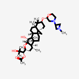 CC(=O)O[C@@H]([C@H]1C[C@@H](C)[C@H]2[C@H](O1)[C@H](O)[C@@]1(C)[C@@H]3CC[C@H]4C(C)(C)[C@@H](O[C@H]5CN(C6CN(C)C6)CCO5)CC[C@@]45C[C@@]35CC[C@]21C)C(C)(C)O